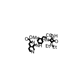 CCN(CC)c1c(N[C@@H](Cc2ccc(Nc3nc(C(=O)OC)cc4ccncc34)cc2)C(=O)O)c(=O)c1=O